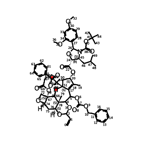 C=CC1OC2C(OC(=O)OCc3ccccc3)C3=C(C)[C@@H](OC(=O)[C@@H]4OC(c5ccc(OC)cc5OC)N(C(=O)OC(C)(C)C)[C@H]4CC(C)C)C[C@@]3(C(C)(C)O)[C@@H](OC(=O)c3ccccc3)[C@@H]3[C@]4(OC(C)=O)CO[C@@H]4C[C@H](O1)[C@@]23C